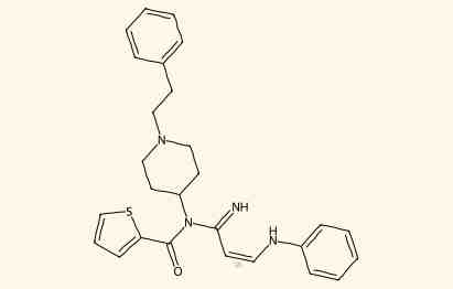 N=C(/C=C\Nc1ccccc1)N(C(=O)c1cccs1)C1CCN(CCc2ccccc2)CC1